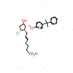 CC(C)(c1ccccc1)c1ccc(OC[C@@H]2[C@@H](CC=CCCCC(=O)O)[C@H](Cl)C[C@H]2O)cc1